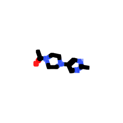 CC(=O)N1CCN(c2cnc(C)nc2)CC1